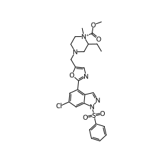 CCC1CN(Cc2cnc(-c3cc(Cl)cc4c3cnn4S(=O)(=O)c3ccccc3)o2)CC[N+]1(C)C(=O)OC